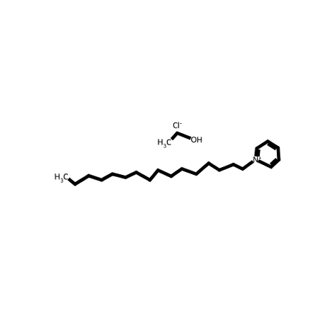 CCCCCCCCCCCCCCCC[n+]1ccccc1.CCO.[Cl-]